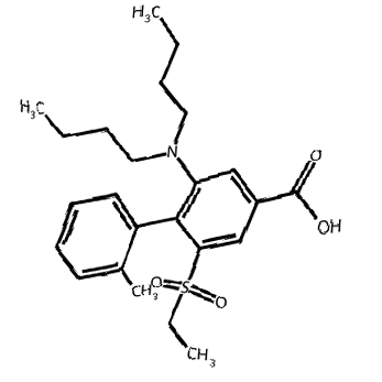 CCCCN(CCCC)c1cc(C(=O)O)cc(S(=O)(=O)CC)c1-c1ccccc1C